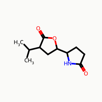 CC(C)C1CC(C2CCC(=O)N2)OC1=O